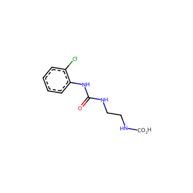 O=C(O)NCCNC(=O)Nc1ccccc1Cl